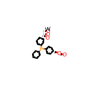 [C]=O.[C]=O.[C]=O.[C]=O.[C]=O.[W].c1ccc(P(c2ccccc2)c2ccccc2)cc1